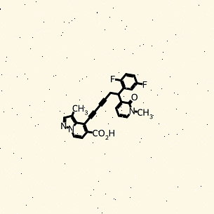 Cc1cnn2ccc(C(=O)O)c(C#CC#CCC(c3cc(F)ccc3F)c3cccn(C)c3=O)c12